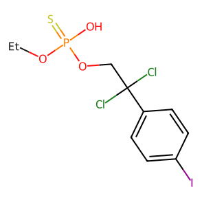 CCOP(O)(=S)OCC(Cl)(Cl)c1ccc(I)cc1